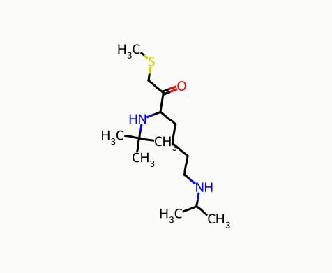 CSCC(=O)C(CCCCNC(C)C)NC(C)(C)C